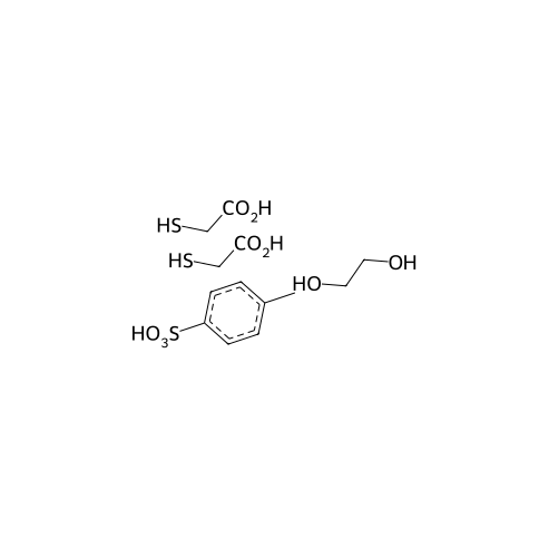 Cc1ccc(S(=O)(=O)O)cc1.O=C(O)CS.O=C(O)CS.OCCO